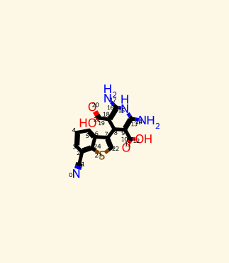 N#Cc1cccc2c(C3C(C(=O)O)=C(N)NC(N)=C3C(=O)O)csc12